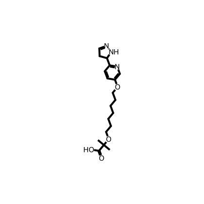 CC(C)(OCCCCCCCOc1ccc(C2CC=NN2)nc1)C(=O)O